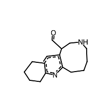 O=CC1CNCCCCc2nc3c(cc21)CCCC3